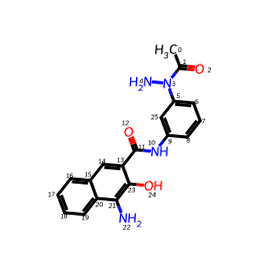 CC(=O)N(N)c1cccc(NC(=O)c2cc3ccccc3c(N)c2O)c1